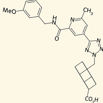 COc1cccc(CNC(=O)c2cc(-c3nnn(CC45C6C7C4C4C5C6C74C(=O)O)n3)cc(C)n2)c1